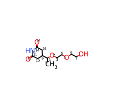 CC(OCCOCCO)C1CC(=O)NC(=O)C1